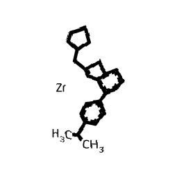 CC(C)c1ccc(-c2cccc3c2C=C(CC2CCCC2)[CH]3)cc1.[Zr]